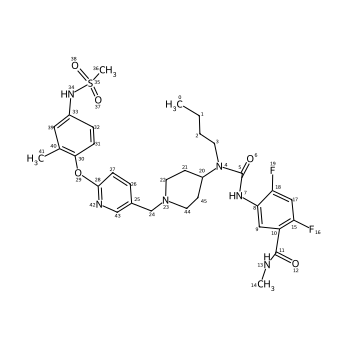 CCCCN(C(=O)Nc1cc(C(=O)NC)c(F)cc1F)C1CCN(Cc2ccc(Oc3ccc(NS(C)(=O)=O)cc3C)nc2)CC1